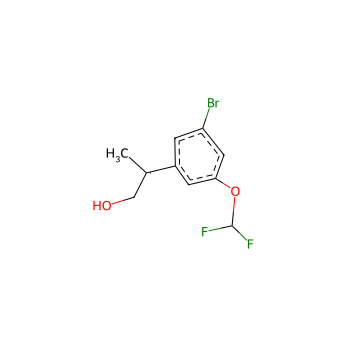 C[C](CO)c1cc(Br)cc(OC(F)F)c1